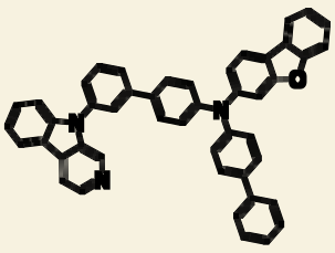 c1ccc(-c2ccc(N(c3ccc(-c4cccc(-n5c6ccccc6c6ccncc65)c4)cc3)c3ccc4c(c3)oc3ccccc34)cc2)cc1